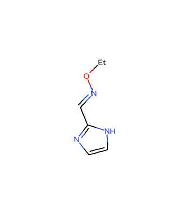 CCON=Cc1ncc[nH]1